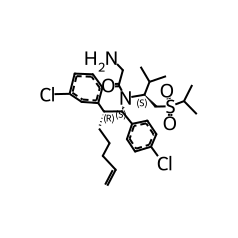 C=CCCC[C@H](c1cccc(Cl)c1)[C@@H](c1ccc(Cl)cc1)N(C(=O)CN)[C@H](CS(=O)(=O)C(C)C)C(C)C